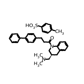 CN(C)C[C@@H]1Cc2ccccc2N(C(=O)CCc2ccc(-c3ccccc3)cc2)C1.Cc1ccc(S(=O)(=O)O)cc1